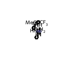 C=C/N=C1/C=NC(N2CCCCC2)=N/C1=C(/N)Nc1cc(C(=O)Nc2cc(C(F)(F)F)ccc2OC)ccc1C